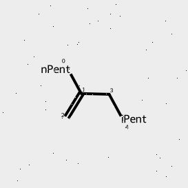 [CH2]CCCCC(=C)CC(C)CCC